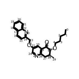 CCCCCO[C@H]1C(=O)c2cc(OCc3ccc4ccccc4n3)cnc2C[C@@H]1C